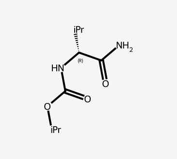 CC(C)OC(=O)N[C@@H](C(N)=O)C(C)C